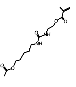 C=C(C)C(=O)OCCNC(=O)NCCCCCOC(C)=O